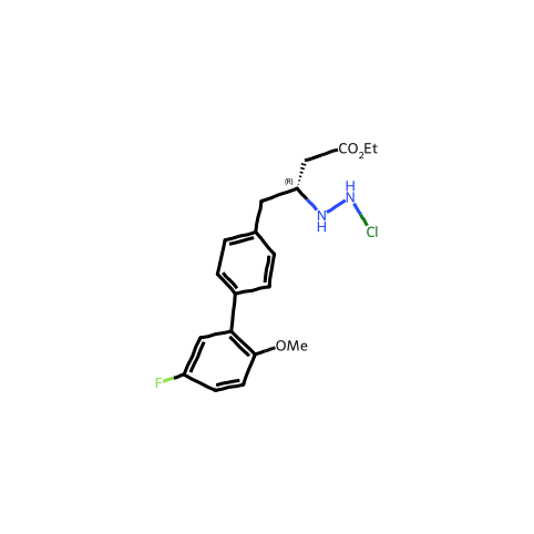 CCOC(=O)C[C@@H](Cc1ccc(-c2cc(F)ccc2OC)cc1)NNCl